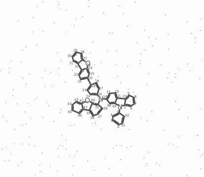 c1ccc(-n2c3ccccc3c3ccc(N(c4ccc(-c5ccc6c(c5)oc5ccccc56)cc4)c4cccc5c4oc4ccccc45)cc32)cc1